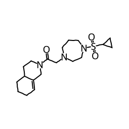 O=C(CN1CCCN(S(=O)(=O)C2CC2)CC1)N1CCC2CCCC=C2C1